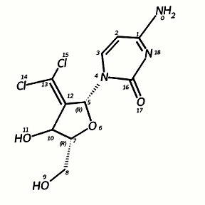 Nc1ccn([C@@H]2O[C@H](CO)C(O)C2=C(Cl)Cl)c(=O)n1